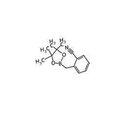 CC1(C)OB(Cc2ccccc2C#N)OC1(C)C